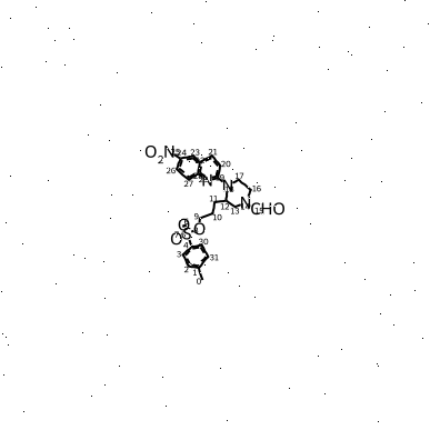 Cc1ccc(S(=O)(=O)OCCCC2CN(C=O)CCN2c2ccc3cc([N+](=O)[O-])ccc3n2)cc1